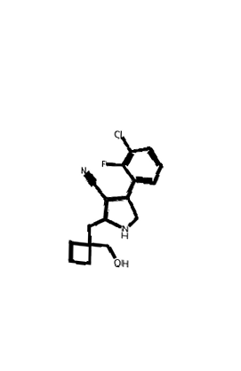 N#CC1C(CC2(CO)CCC2)NCC1c1cccc(Cl)c1F